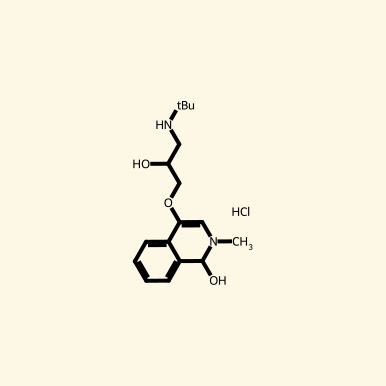 CN1C=C(OCC(O)CNC(C)(C)C)c2ccccc2C1O.Cl